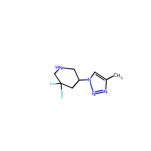 Cc1cn(C2CNCC(F)(F)C2)nn1